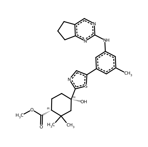 COC(=O)[C@@H]1CC[C@@](O)(c2ncc(-c3cc(C)cc(Nc4ncc5c(n4)CCC5)c3)s2)CC1(C)C